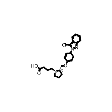 O=C(O)CCCN1CCC[C@H]1COC1=CCC(n2nc3ccccc3c2Cl)C=C1